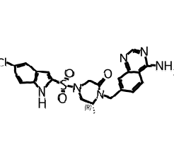 C[C@@H]1CN(S(=O)(=O)c2cc3cc(Cl)ccc3[nH]2)CC(=O)N1Cc1ccc2c(N)ncnc2c1